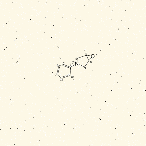 c1ccc(N2CC3OC3C2)cc1